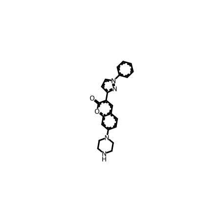 O=c1oc2cc(N3CCNCC3)ccc2cc1-c1ccn(-c2ccccc2)n1